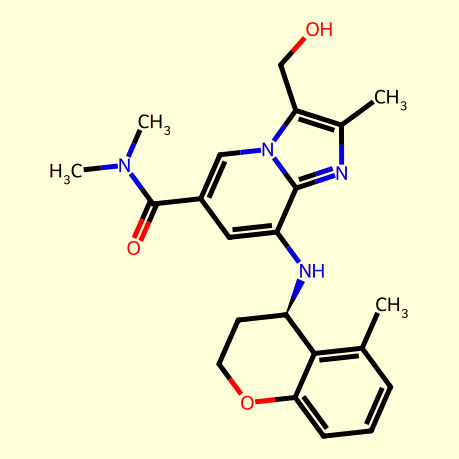 Cc1cccc2c1[C@H](Nc1cc(C(=O)N(C)C)cn3c(CO)c(C)nc13)CCO2